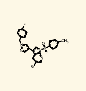 Cc1ccc(S(=O)(=O)n2cc(-c3cnn(Cc4ccc(F)cc4)c3)c3cc(Br)cnc32)cc1